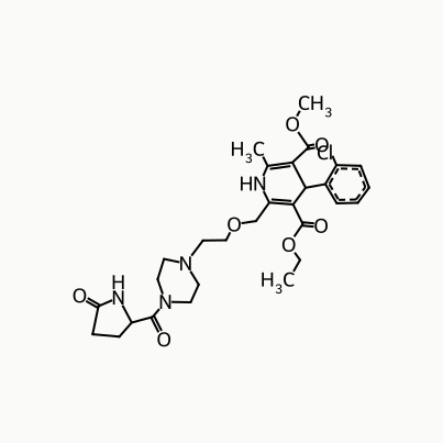 CCOC(=O)C1=C(COCCN2CCN(C(=O)C3CCC(=O)N3)CC2)NC(C)=C(C(=O)OC)C1c1ccccc1Cl